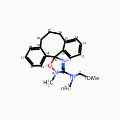 CCCCN(COC)C1=NC2(ON1C)c1ccccc1CCCc1ccccc12